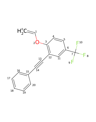 C=COc1ccc(C(F)(F)F)cc1C#Cc1ccccc1